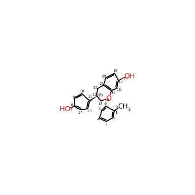 Cc1ccccc1.Oc1ccc([C@@H]2COc3cc(O)ccc3C2)cc1